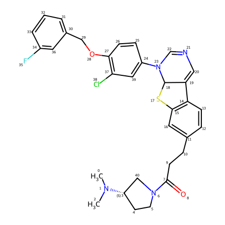 CN(C)[C@H]1CCN(C(=O)CCc2ccc3c(c2)SC2C3=CN=CN2c2ccc(OCc3cccc(F)c3)c(Cl)c2)C1